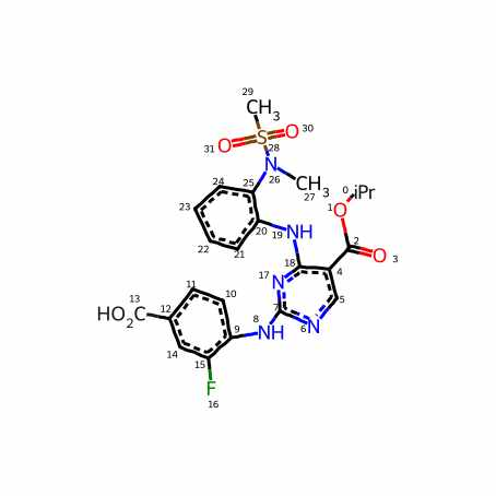 CC(C)OC(=O)c1cnc(Nc2ccc(C(=O)O)cc2F)nc1Nc1ccccc1N(C)S(C)(=O)=O